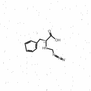 [N-]=[N+]=NCN[C@@H](Cc1ccccc1)C(=O)O